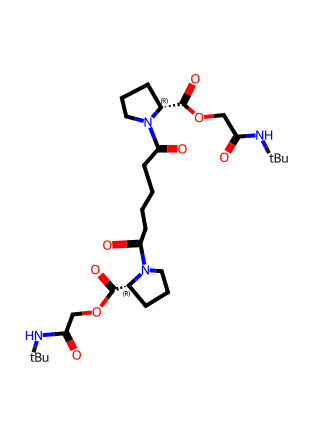 CC(C)(C)NC(=O)COC(=O)[C@H]1CCCN1C(=O)CCCCC(=O)N1CCC[C@@H]1C(=O)OCC(=O)NC(C)(C)C